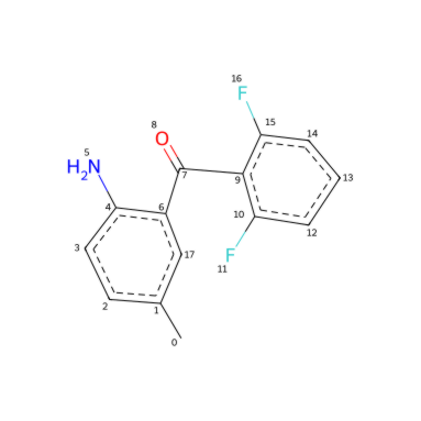 Cc1ccc(N)c(C(=O)c2c(F)cccc2F)c1